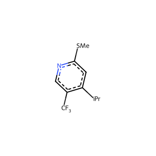 CSc1cc(C(C)C)c(C(F)(F)F)cn1